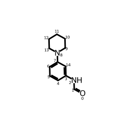 O=CNc1cccc(N2CCCCC2)c1